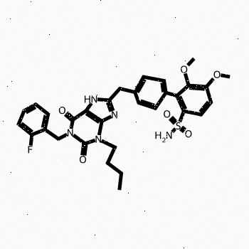 CCCCn1c(=O)n(Cc2ccccc2F)c(=O)c2[nH]c(Cc3ccc(-c4c(S(N)(=O)=O)ccc(OC)c4OC)cc3)nc21